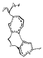 O=C(O)c1ccc2c(c1)COc1cnc(F)cc1-2